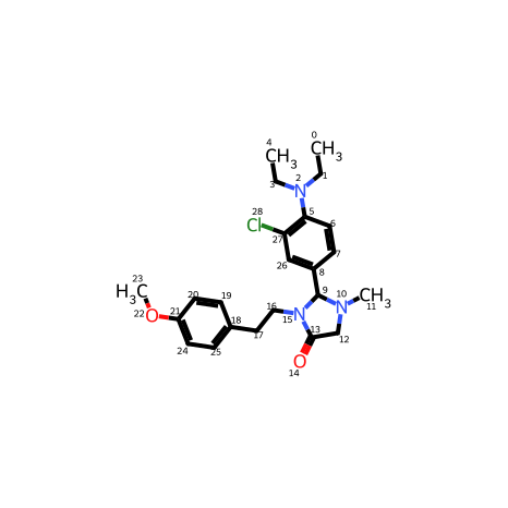 CCN(CC)c1ccc(C2N(C)CC(=O)N2CCc2ccc(OC)cc2)cc1Cl